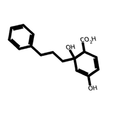 O=C(O)C1C=CC(O)=CC1(O)CCCc1ccccc1